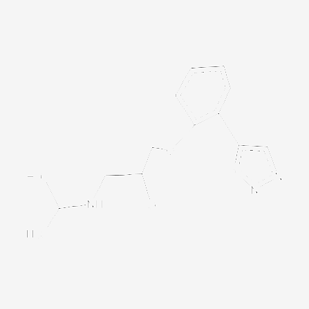 CC(C)NCC(O)COc1ccccc1-c1cnns1